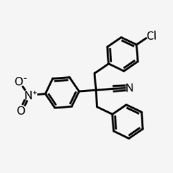 N#CC(Cc1ccccc1)(Cc1ccc(Cl)cc1)c1ccc([N+](=O)[O-])cc1